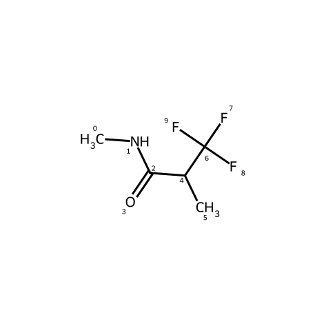 CNC(=O)C(C)C(F)(F)F